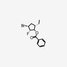 CC[C@H]1C[C@H](Br)[C@@H](F)[C@@H]1OC(=O)c1ccccc1